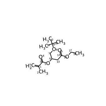 C=C(C)C(=O)OC(COC(C)(C)C)CC(=O)OCC